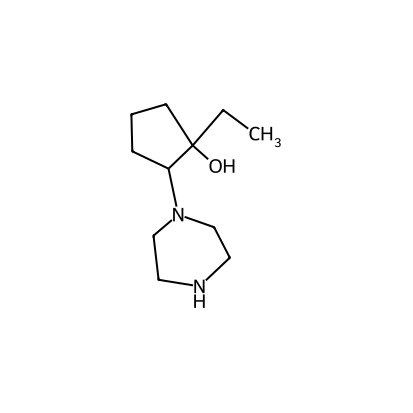 CCC1(O)CCCC1N1CCNCC1